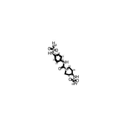 CC(C)S(=O)(=O)NC1CCN(C(=O)Nc2ccc(NS(C)(=O)=O)cc2)CC1